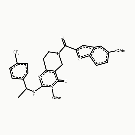 COc1ccc2oc(C(=O)N3CCc4nc(NC(C)c5ccc(C(F)(F)F)cc5)n(OC)c(=O)c4C3)cc2c1